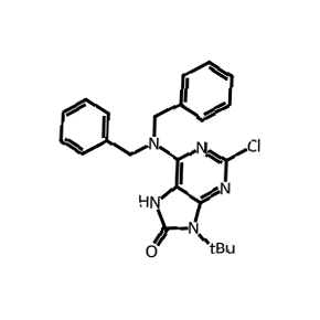 CC(C)(C)n1c(=O)[nH]c2c(N(Cc3ccccc3)Cc3ccccc3)nc(Cl)nc21